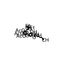 C#CCCCCNC(=O)Nc1ccc(O[C@H]2O[C@H](CCP(=O)(OCC)OCC)[C@@H](OC(C)=O)[C@H](OC(C)=O)[C@@H]2OC(C)=O)cc1O